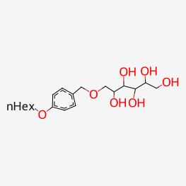 CCCCCCOc1ccc(COCC(O)C(O)C(O)C(O)CO)cc1